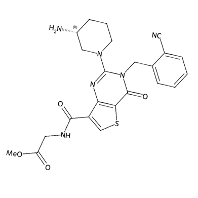 COC(=O)CNC(=O)c1csc2c(=O)n(Cc3ccccc3C#N)c(N3CCC[C@@H](N)C3)nc12